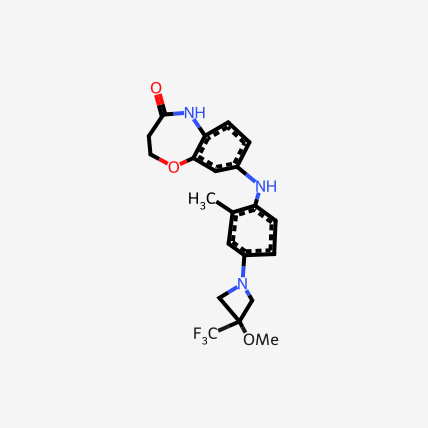 COC1(C(F)(F)F)CN(c2ccc(Nc3ccc4c(c3)OCCC(=O)N4)c(C)c2)C1